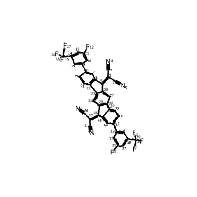 N#CC(C#N)=C1c2cc(-c3cc(F)cc(C(F)(F)F)c3)ccc2-c2cc3c(cc21)-c1ccc(-c2cc(F)cc(C(F)(F)F)c2)cc1C3=C(C#N)C#N